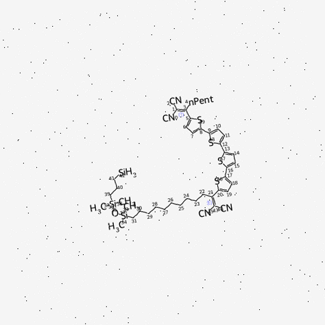 [C-]#[N+]/C(C#N)=C(/CCCCC)c1ccc(-c2ccc(-c3ccc(-c4ccc(/C(CCCCCCCCCC[Si](C)(C)O[Si](C)(C)CCC[SiH3])=C(\C#N)[N+]#[C-])s4)s3)s2)s1